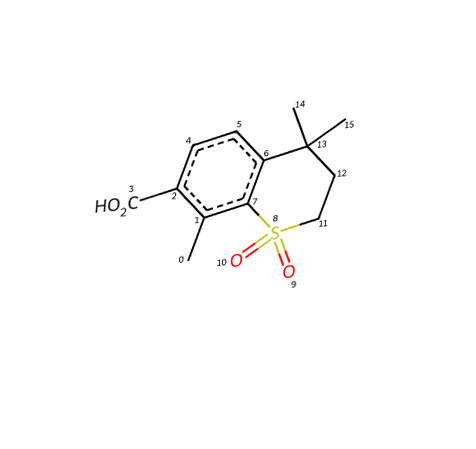 Cc1c(C(=O)O)ccc2c1S(=O)(=O)CCC2(C)C